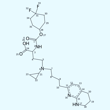 O=C(NC(CCN(CCCCc1ccc2c(n1)NCCC2)C1CC1)C(=O)O)OC1CCC(F)(F)CC1